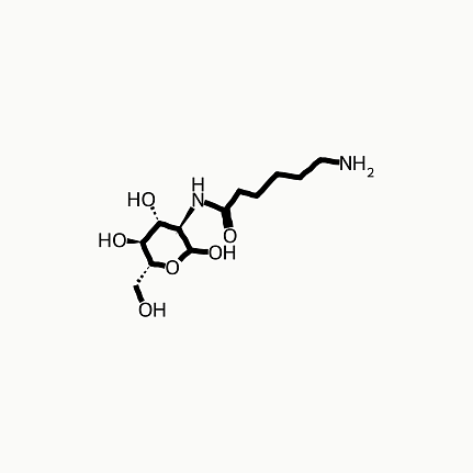 NCCCCCC(=O)N[C@H]1C(O)O[C@H](CO)[C@@H](O)[C@@H]1O